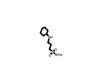 CC(=O)NS(=O)(=O)CCCNC1CCCCC1